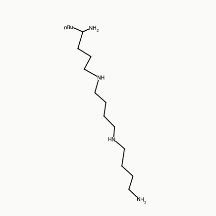 CCCCC(N)CCCNCCCCNCCCCN